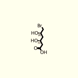 O=C(O)C[C@@H](O)C[C@@H](O)CBr